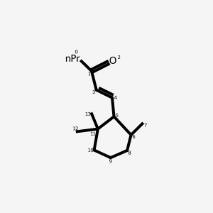 CCCC(=O)/C=C/C1C(C)CCCC1(C)C